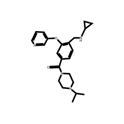 CC(C)N1CCN(C(=O)c2ccc(CNC3CC3)c(Oc3cccnc3)c2)CC1